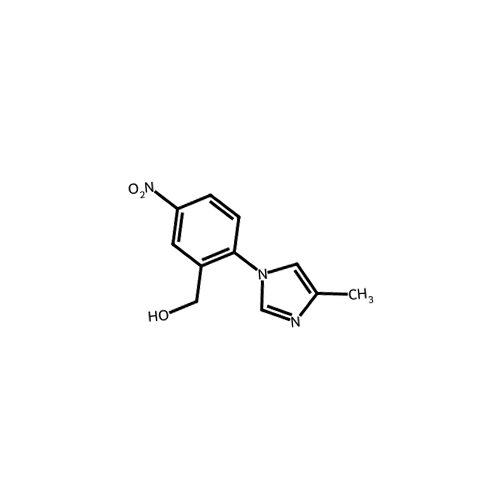 Cc1cn(-c2ccc([N+](=O)[O-])cc2CO)cn1